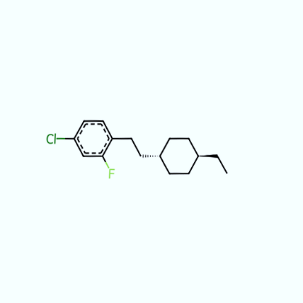 CC[C@H]1CC[C@H](CCc2ccc(Cl)cc2F)CC1